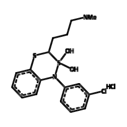 CNCCCC1Sc2ccccc2N(c2cccc(Cl)c2)S1(O)O.Cl